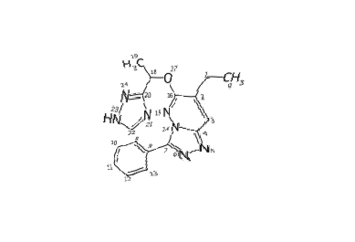 CCc1cc2nnc(-c3ccccc3)n2nc1OC(C)c1nc[nH]n1